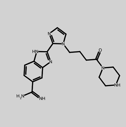 N=C(N)c1ccc2[nH]c(-c3nccn3CCCC(=O)N3CCNCC3)nc2c1